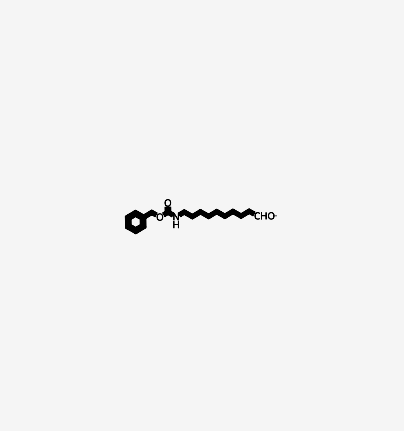 O=[C]CCCCCCCCCNC(=O)OCc1ccccc1